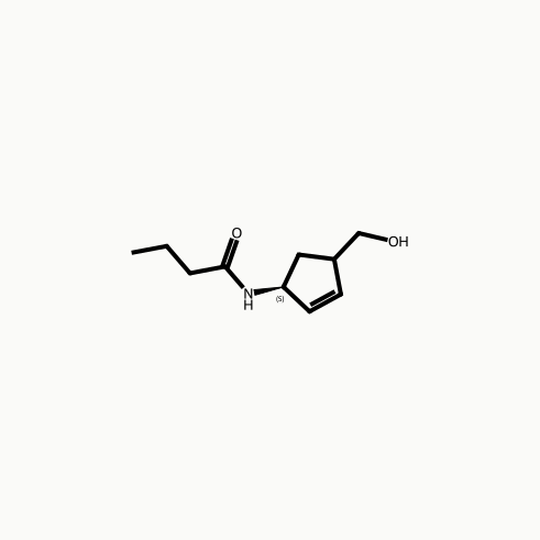 CCCC(=O)N[C@@H]1C=CC(CO)C1